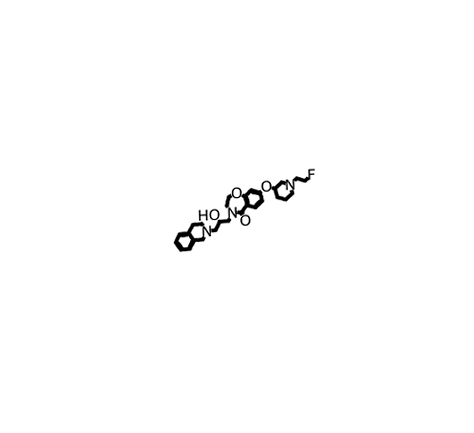 O=C1c2ccc(OC3CCCN(CCF)C3)cc2OCCN1C[C@H](O)CN1CCc2ccccc2C1